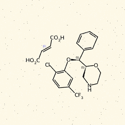 FC(F)(F)c1ccc(Cl)c(O[C@@H](c2ccccc2)[C@@H]2CNCCO2)c1.O=C(O)/C=C/C(=O)O